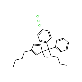 CCCCC1=C[C]([Ti+3])(C(CCCC)(c2ccccc2)c2ccccc2)C=C1.[Cl-].[Cl-].[Cl-]